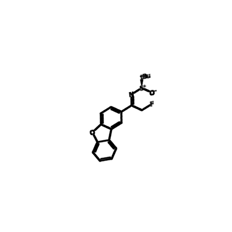 CC(C)(C)[S@@+]([O-])/N=C(\CF)c1ccc2oc3ccccc3c2c1